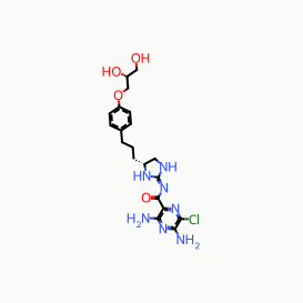 Nc1nc(N)c(C(=O)/N=C2/NC[C@@H](CCCc3ccc(OC[C@@H](O)CO)cc3)N2)nc1Cl